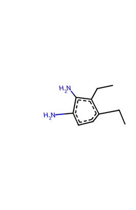 CCc1ccc(N)c(N)c1CC